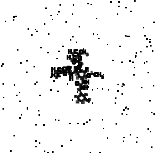 CCOc1c(NC(=O)NCc2cccc(F)c2)cc2c(NC(=O)OC(C)(C)C)nn(OC(=O)OC(C)(C)C)c2c1F